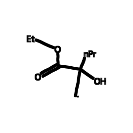 [CH2]C(O)(CCC)C(=O)OCC